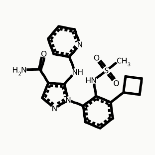 CS(=O)(=O)Nc1c(C2CCC2)cccc1-n1ncc(C(N)=O)c1Nc1ccccn1